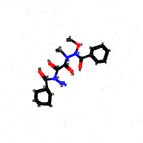 CC(C)(C)ON(C(=O)c1ccccc1)N(C(=O)C(=O)N(N)C(=O)c1ccccc1)C(C)(C)C